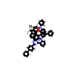 CC1(C)C2=CC=C(C3=NC(c4ccc(-c5ccccc5)cc4)=NC(c4ccccc4-n4c5cc(-c6ccccc6)ccc5c5c(-c6cccc7c6c6ccccc6n7-c6ccccc6)cccc54)N3)CC2c2ccccc21